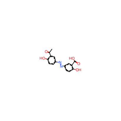 CC(=O)c1cc(/N=N/c2ccc(O)c(C(=O)O)c2)ccc1O